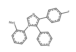 CSc1ccccc1-n1cnc(-c2ccc(F)cc2)c1-c1ccncc1